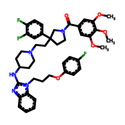 COc1cc(C(=O)N2CCC(CCN3CCC(Nc4nc5ccccc5n4CCCOc4ccc(F)cc4)CC3)(c3ccc(F)c(F)c3)C2)cc(OC)c1OC